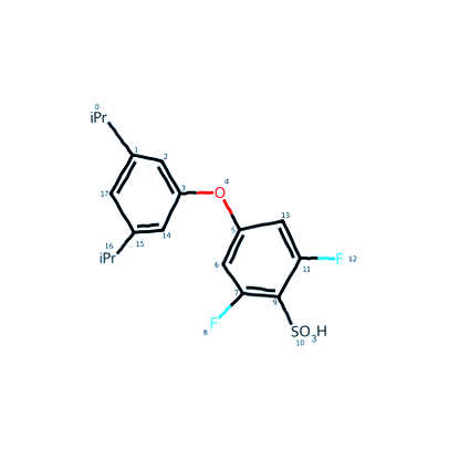 CC(C)c1cc(Oc2cc(F)c(S(=O)(=O)O)c(F)c2)cc(C(C)C)c1